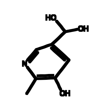 Cc1ncc(C(O)O)cc1O